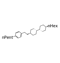 CCCCCC[C@H]1CC[C@H]([C@H]2CC[C@H](CCc3ccc(CCCCC)cc3)CC2)CC1